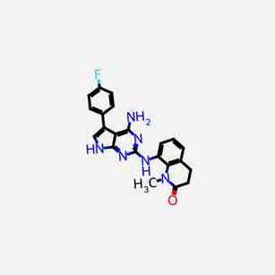 CN1C(=O)CCc2cccc(Nc3nc(N)c4c(-c5ccc(F)cc5)c[nH]c4n3)c21